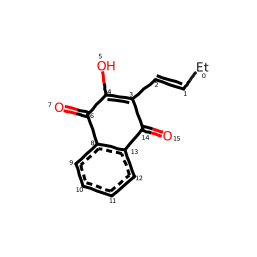 CCC=CC1=C(O)C(=O)c2ccccc2C1=O